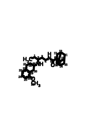 CCC(CCNC(=O)C12CC3CC(CC(C3)C1)C2)NC1CCc2cccc(OC)c2C1